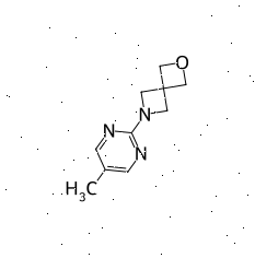 Cc1cnc(N2CC3(COC3)C2)nc1